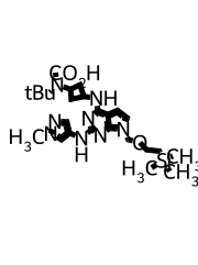 Cn1cc(Nc2nc(NC3CC(N(C(=O)O)C(C)(C)C)C3)c3ccn(COCC[Si](C)(C)C)c3n2)cn1